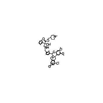 COc1ccc(C(Cc2c(Cl)c[n+]([O-])cc2Cl)OC(=O)c2ccc(CNCC(O)(C(=O)OCC3CCN(C)CC3)c3cccs3)s2)cc1OC